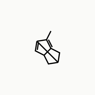 CC1=C2CC3CC2C=C13